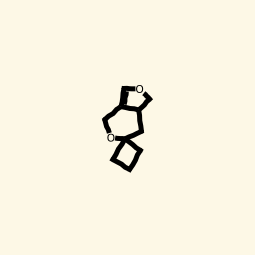 C1=C2COC3(CCC3)CC2CO1